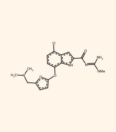 CNC(N)=NC(=O)c1cc2c(Cl)ccc(Oc3ccc(CN(C)C)o3)c2[nH]1